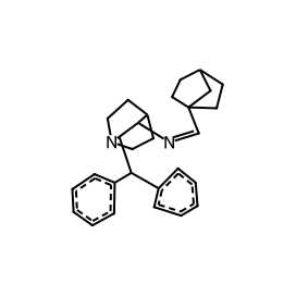 C(=N/C1C2CCN(CC2)C1C(c1ccccc1)c1ccccc1)/C12CCC(CC1)C2